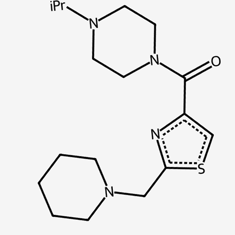 CC(C)N1CCN(C(=O)c2csc(CN3CCCCC3)n2)CC1